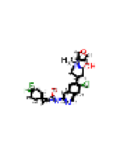 C[C@@]1(N2CCC(c3cc4cc(NC(=O)[C@@H]5CC56CCC(F)(F)CC6)ncc4cc3Cl)CC2)COC[C@@H]1O